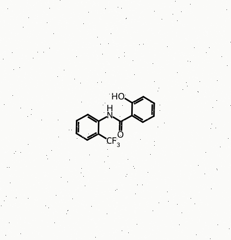 O=C(Nc1ccccc1C(F)(F)F)c1ccccc1O